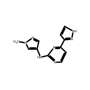 Cn1cc(Nc2nccc(-c3cc[nH]n3)n2)cn1